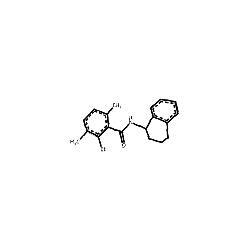 CCc1c(C)ccc(C)c1C(=O)NC1CCCc2ccccc21